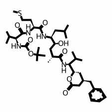 CSCC[C@H](NC(=O)[C@@H](NC(=O)OC(C)(C)C)C(C)C)C(=O)N[C@@H](CC(C)C)[C@@H](O)C[C@@H](C)C(=O)N[C@@H](C(C)C)[C@@H]1C[C@@H](Cc2ccccc2)CC(=O)O1